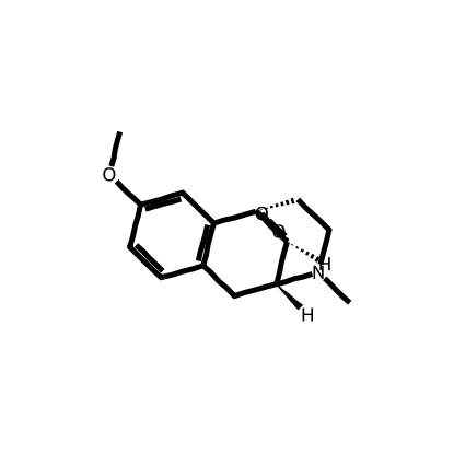 COc1ccc2c(c1)[C@]13CCN(C)[C@H](C2)[C@@H]1OCOC3